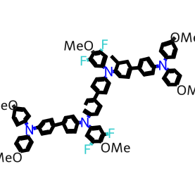 C=C(/C=C\C(=C/C)c1ccc(N(C2=CC=C(c3ccc(N(c4ccc(OC)cc4)c4ccc(OC)cc4)cc3)CC2C)c2cc(F)c(OC)c(F)c2)cc1)N(c1ccc(-c2ccc(N(c3ccc(OC)cc3)c3ccc(OC)cc3)cc2)cc1)c1cc(F)c(OC)c(F)c1